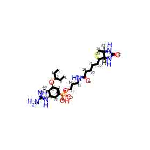 CCC(CC)O[C@@H]1C=C(P(=O)(O)OCCCNC(=O)CCCCC2SC[C@]3(C)NC(=O)N[C@H]23)C[C@H](NC(=N)N)[C@H]1C